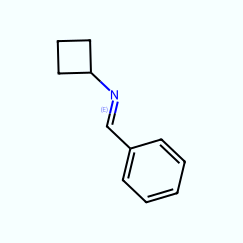 C(=N\C1CCC1)/c1ccccc1